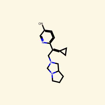 O=NC1=C=C=C(C(CN2CC3CCCN3C2)=C2CC2)N=C1